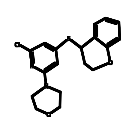 Clc1cc(SC2CCOc3ccccc32)cc(N2CCOCC2)n1